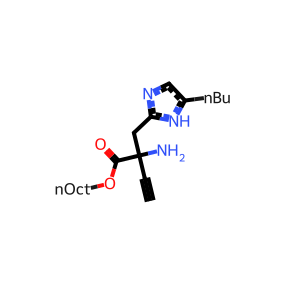 C#CC(N)(Cc1ncc(CCCC)[nH]1)C(=O)OCCCCCCCC